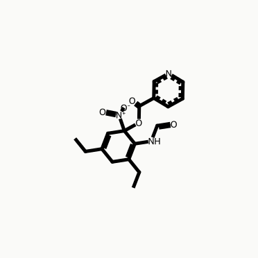 CCC1=CC(OC(=O)c2cccnc2)([N+](=O)[O-])C(NC=O)=C(CC)C1